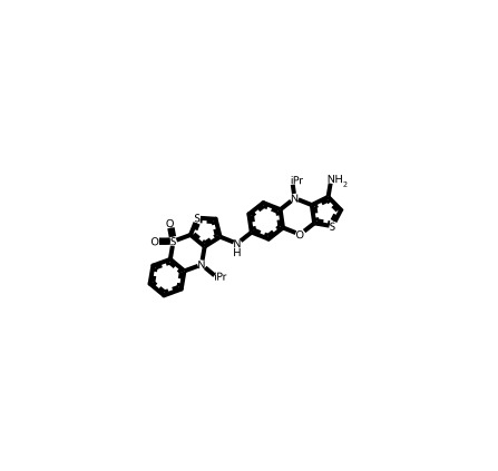 CC(C)N1c2ccc(Nc3csc4c3N(C(C)C)c3ccccc3S4(=O)=O)cc2Oc2scc(N)c21